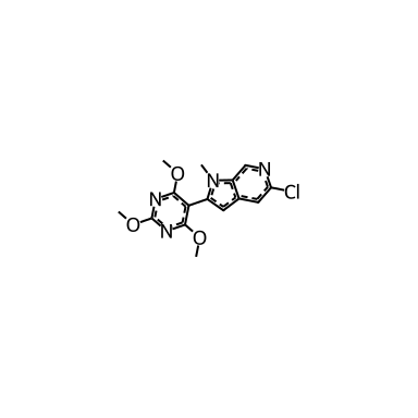 COc1nc(OC)c(-c2cc3cc(Cl)ncc3n2C)c(OC)n1